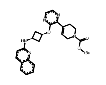 CC(C)(C)OC(=O)N1CC=C(c2nccnc2O[C@H]2C[C@@H](Nc3ccc4ccccc4n3)C2)CC1